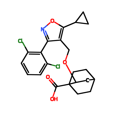 O=C(O)C12CCC(CC1)CC2OCc1c(-c2c(Cl)cccc2Cl)noc1C1CC1